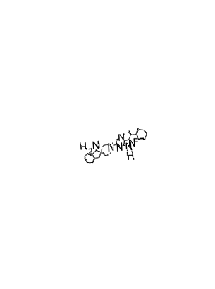 C=C(c1ccccc1F)c1n[nH]c2nc(N3CCC4(CC3)Cc3ccccc3[C@H]4N)cnc12